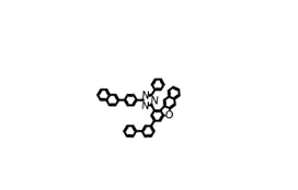 c1ccc(-c2cccc(-c3cc(-c4nc(-c5ccccc5)nc(-c5ccc(-c6ccc7ccccc7c6)cc5)n4)c4c(c3)oc3cc5ccccc5cc34)c2)cc1